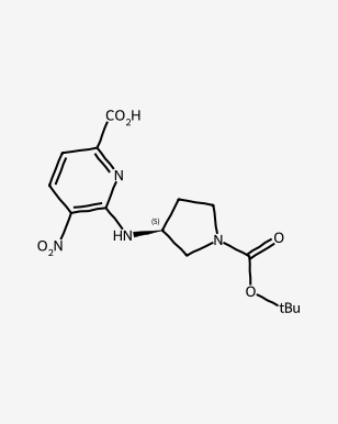 CC(C)(C)OC(=O)N1CC[C@H](Nc2nc(C(=O)O)ccc2[N+](=O)[O-])C1